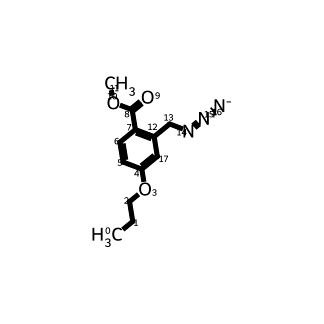 CCCOc1ccc(C(=O)OC)c(CN=[N+]=[N-])c1